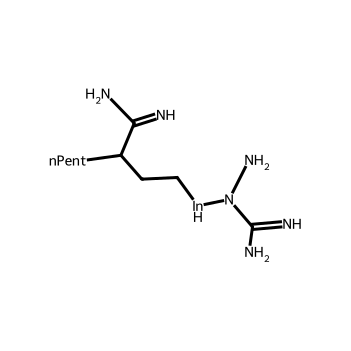 CCCCCC(C[CH2][InH][N](N)C(=N)N)C(=N)N